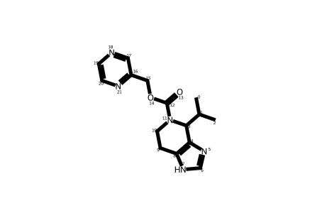 CC(C)C1c2nc[nH]c2CCN1C(=O)OCc1cnccn1